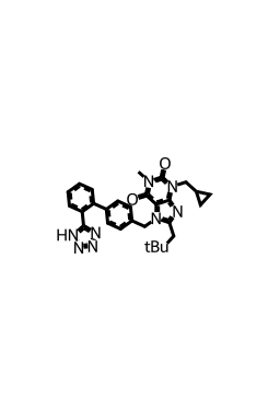 Cn1c(=O)c2c(nc(CC(C)(C)C)n2Cc2ccc(-c3ccccc3-c3nnn[nH]3)cc2)n(CC2CC2)c1=O